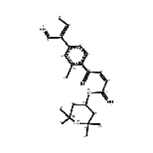 C/C=C(\C=N)c1ccc(C(=N)/C=C\C(=N)OC2CC(C)(C)NC(C)(C)C2)c(C)c1